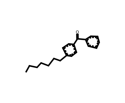 CCCCCCCc1ccc(C(=O)c2ccccc2)cc1